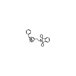 O=C1c2ccccc2C(=O)N1CCc1cnn(Cc2ccccc2)c1